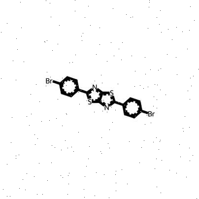 Brc1ccc(-c2nc3sc(-c4ccc(Br)cc4)nc3s2)cc1